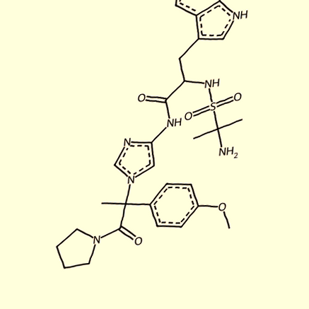 COc1ccc(C(C)(C(=O)N2CCCC2)n2cnc(NC(=O)C(Cc3c[nH]c4ccccc34)NS(=O)(=O)C(C)(C)N)c2)cc1